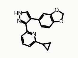 c1cc(-c2n[nH]cc2-c2ccc3c(c2)OCO3)nc(C2CC2)c1